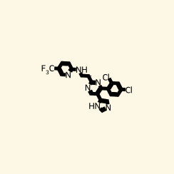 FC(F)(F)c1ccc(NC[CH]c2ncc(-c3cnc[nH]3)c(-c3ccc(Cl)cc3Cl)n2)nc1